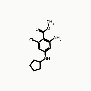 COC(=O)c1c(N)cc(NC2CCCC2)cc1Cl